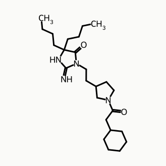 CCCCC1(CCCC)NC(=N)N(CCC2CCN(C(=O)CC3CCCCC3)C2)C1=O